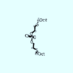 CCCCCCCCSCCOS(=O)(=O)OCCSCCCCCCCC